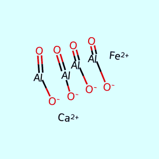 [Ca+2].[Fe+2].[O]=[Al][O-].[O]=[Al][O-].[O]=[Al][O-].[O]=[Al][O-]